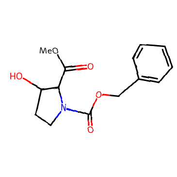 COC(=O)C1C(O)CCN1C(=O)OCc1ccccc1